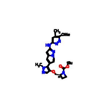 COc1nnc(Nc2cc3cc(-c4c(OC[C@H]5CCN5C(=O)OC(C)(C)C)cnn4C)ccn3n2)cc1C